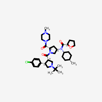 CN1CCN(C(=O)[C@@H]2C[C@H](N(C(=O)[C@@H]3CCCO3)[C@H]3CC[C@@H](C)CC3)CN2C(=O)[C@@H]2CN(C(C)(C)C)C[C@@H]2c2ccc(Cl)cc2)CC1